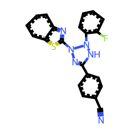 N#Cc1ccc(C2=NN(c3nc4ccccc4s3)N(c3ccccc3F)N2)cc1